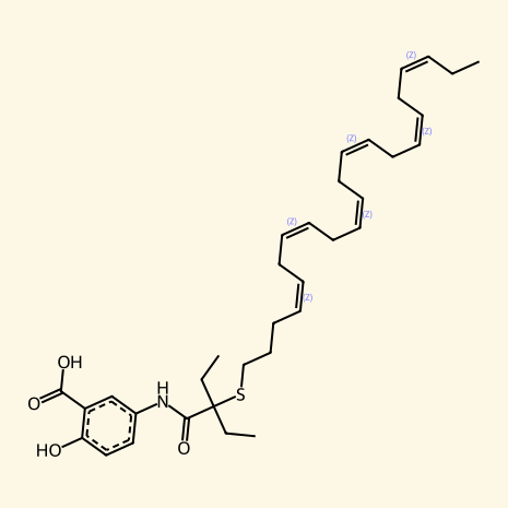 CC/C=C\C/C=C\C/C=C\C/C=C\C/C=C\C/C=C\CCCSC(CC)(CC)C(=O)Nc1ccc(O)c(C(=O)O)c1